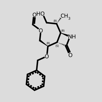 C[C@@H](CO)[C@H]1NC(=O)[C@@H]1[C@H](COC=O)OCc1ccccc1